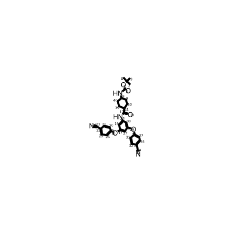 CC(C)(C)OC(=O)NC1CCC(C(=O)Nc2cc(Oc3ccc(C#N)cc3)cc(Oc3ccc(C#N)cc3)c2)CC1